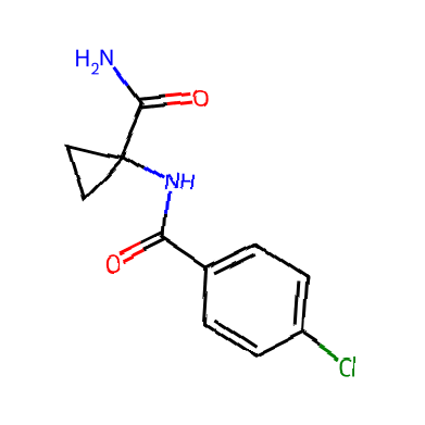 NC(=O)C1(NC(=O)c2ccc(Cl)cc2)CC1